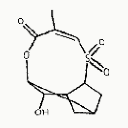 C/C1=C/S(=O)(=O)C2CC3CC2C(O)C3OC1=O